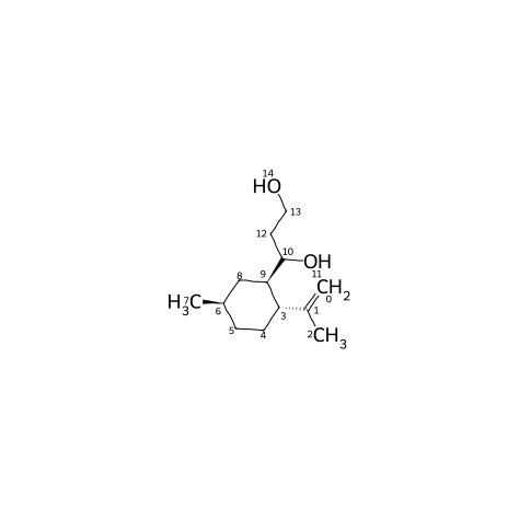 C=C(C)[C@@H]1CC[C@@H](C)C[C@H]1C(O)CCO